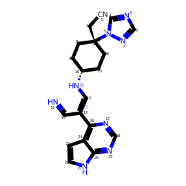 N#CC[C@]1(n2cncn2)CC[C@@H](N/C=C(\C=N)c2ncnc3[nH]ccc23)CC1